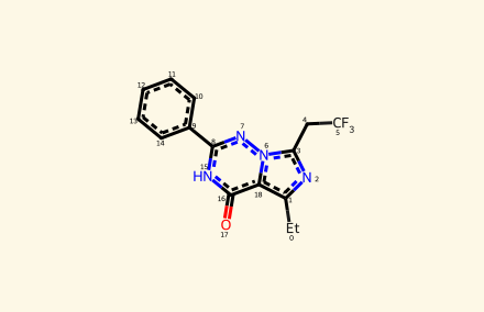 CCc1nc(CC(F)(F)F)n2nc(-c3ccccc3)[nH]c(=O)c12